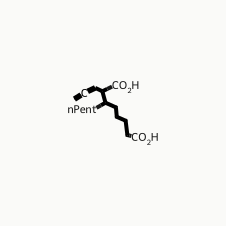 C=C=CC(C(=O)O)C(CCCCC)CCCCC(=O)O